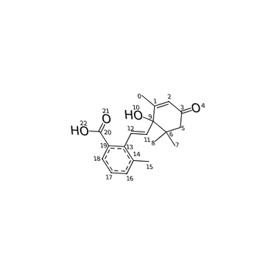 CC1=CC(=O)CC(C)(C)C1(O)C=Cc1c(C)cccc1C(=O)O